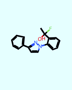 CC(O)(F)c1ccccc1-n1ccc(-c2ccccc2)n1